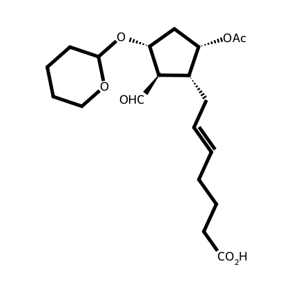 CC(=O)O[C@H]1C[C@@H](OC2CCCCO2)[C@H](C=O)[C@H]1CC=CCCCC(=O)O